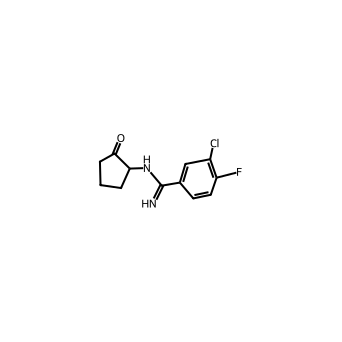 N=C(NC1CCCC1=O)c1ccc(F)c(Cl)c1